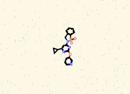 O=S1(=O)c2ccccc2CN1c1cc(C2CC2)nc(Oc2cccnc2)n1